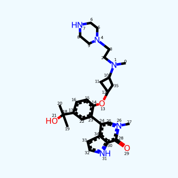 CN(CCN1CCNCC1)C1CC(Oc2ccc(C(C)(C)O)cc2-c2cn(C)c(=O)c3[nH]ccc23)C1